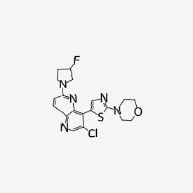 FC1CCN(c2ccc3ncc(Cl)c(-c4cnc(N5CCOCC5)s4)c3n2)C1